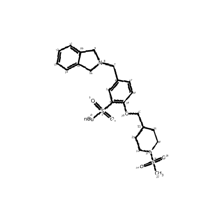 CCCCS(=O)(=O)c1cc(CN2Cc3ccccc3C2)ccc1OCC1CCN(S(C)(=O)=O)CC1